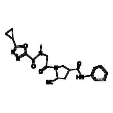 CN(CC(=O)N1CC(C(=O)Nc2ccccc2)CC1C#N)C(=O)c1nnc(C2CC2)o1